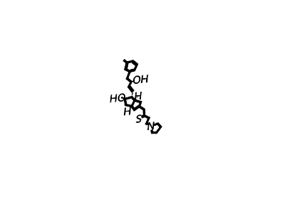 Cc1cccc(C[C@H](O)/C=C/[C@@H]2[C@H]3CC(CC(=S)CCN4CCCC4)=C[C@H]3C[C@H]2O)c1